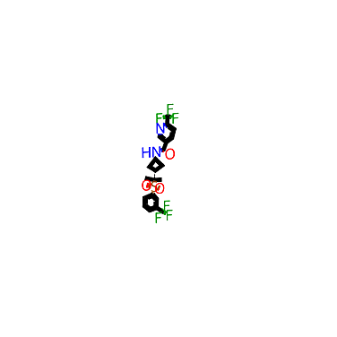 CC(C)([C@H]1C[C@H](NC(=O)c2ccc(C(F)(F)F)nc2)C1)S(=O)(=O)c1cccc(C(F)(F)F)c1